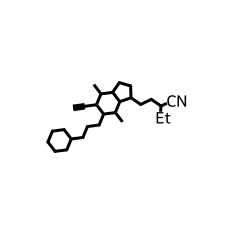 C#CC1C(C)C2CCC(CCC(C#N)CC)C2C(C)C1CCCC1CCCCC1